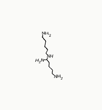 NCCCCCNC(N)CCCCN